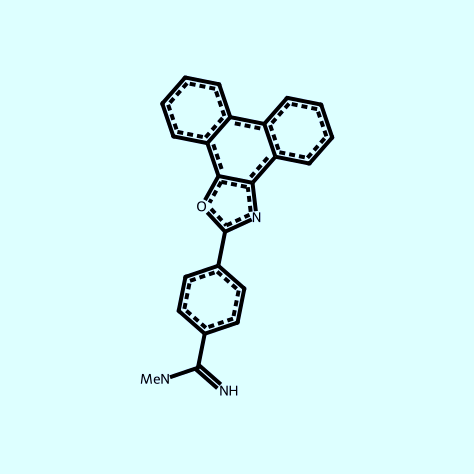 CNC(=N)c1ccc(-c2nc3c4ccccc4c4ccccc4c3o2)cc1